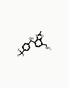 Cc1nc2c(C(O)c3ccc(C(F)(F)F)cc3)ccc(CN)c2o1